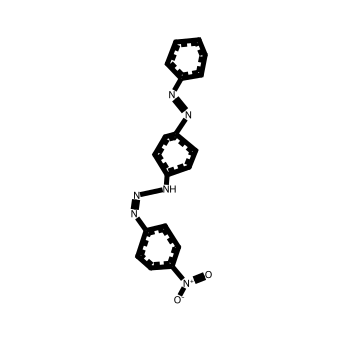 O=[N+]([O-])c1ccc(/N=N\Nc2ccc(/N=N/c3ccccc3)cc2)cc1